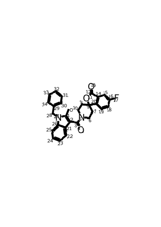 Cc1c(C(=O)N2CCC3(CC2)OC(=O)c2cc(F)ccc23)c2ccccc2n1Cc1ccccc1